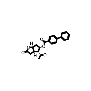 CC(=O)[C@@H]1[C@H]2CC(=O)O[C@H]2C[C@H]1OC(=O)c1ccc(-c2ccccc2)cc1